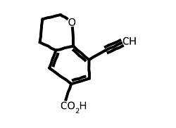 C#Cc1cc(C(=O)O)cc2c1OCCC2